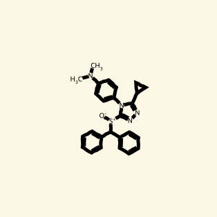 CN(C)c1ccc(-n2c(C3CC3)nnc2[S+]([O-])C(c2ccccc2)c2ccccc2)cc1